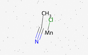 CC#N.[Cl][Mn]